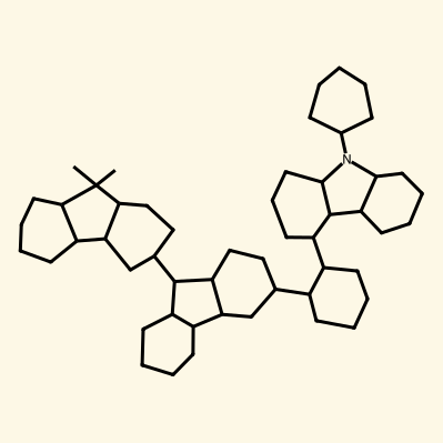 CC1(C)C2CCCCC2C2CC(C3C4CCCCC4C4CC(C5CCCCC5C5CCCC6C5C5CCCCC5N6C5CCCCC5)CCC43)CCC21